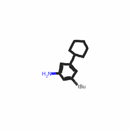 CC(C)(C)c1cc(N)cc(C2CCCCC2)c1